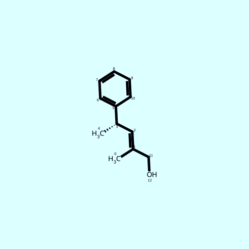 C/C(=C\[C@H](C)c1ccccc1)CO